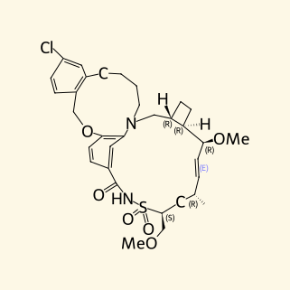 COC[C@@H]1C[C@@H](C)/C=C/[C@H](OC)[C@@H]2CC[C@H]2CN2CCCCc3cc(Cl)ccc3COc3ccc(cc32)C(=O)NS1(=O)=O